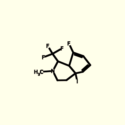 CN1CCC2(I)C=CC=C(F)C2C1C(F)(F)F